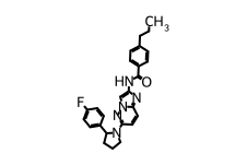 CCCc1ccc(C(=O)Nc2cn3nc(N4CCCC4c4ccc(F)cc4)ccc3n2)cc1